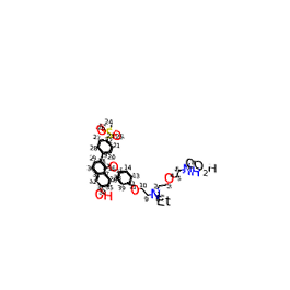 CCN(CCOCCNC(=O)O)CCOc1ccc(Oc2c(-c3ccc(S(C)(=O)=O)cc3)ccc3cc(O)ccc23)cc1